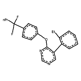 CCCC(F)(F)c1ccc(Oc2ncncc2-c2ccccc2CC)cc1